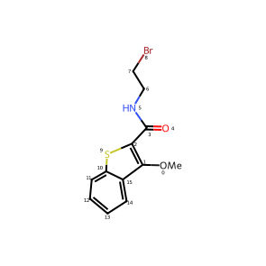 COc1c(C(=O)NCCBr)sc2ccccc12